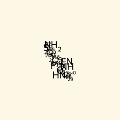 CC1C2CC(NC2C(=O)N[C@H](C#N)Cc2ccc(-c3ccc(SN)cc3)cc2F)[C@H]1C